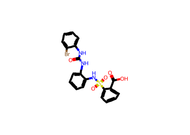 O=C(Nc1ccccc1Br)Nc1ccccc1NS(=O)(=O)c1ccccc1C(=O)O